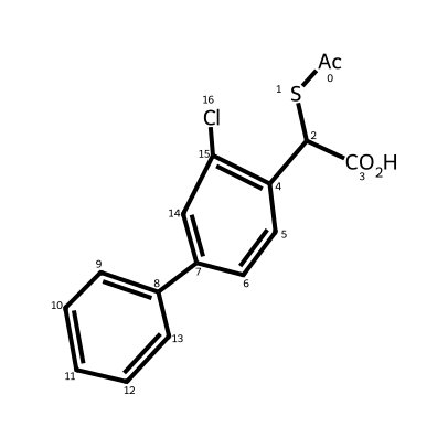 CC(=O)SC(C(=O)O)c1ccc(-c2ccccc2)cc1Cl